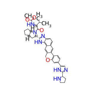 COC(=O)N[C@H](C(=O)N1[C@H](c2nc3ccc4cc5c(cc4c3[nH]2)COc2cc(-c3cnc(C4CCCN4)[nH]3)ccc2-5)C[C@@H]2CCC[C@@H]21)C(C)C